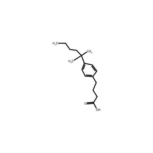 CCCCC(C)(C)c1ccc(CCCC(=O)O)cc1